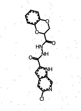 O=C(NNC(=O)C1COc2ccccc2O1)c1cc2cc(Cl)ncc2[nH]1